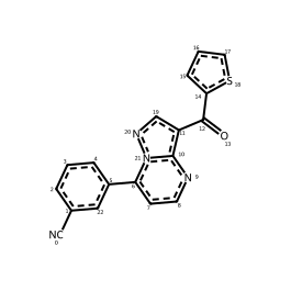 N#Cc1cccc(-c2ccnc3c(C(=O)c4cccs4)cnn23)c1